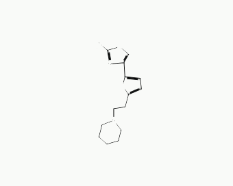 Nc1nc(-c2ccc(CCN3CCCCC3)s2)cs1